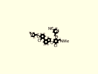 CNCc1cc(Cl)c(O[C@H]2CCc3c(-c4cccc(OCC5CCN(C)C5)c4Cl)cccc32)cc1OCc1cncc(C#N)c1